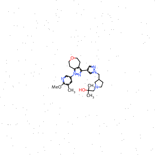 COc1ncc(-n2nc(-c3cnn(CC4CCN(CC(C)(C)O)C4)c3)c3c2CCOCC3)cc1C